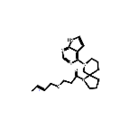 O=C(CCOC/C=C/I)N1CCCC12CCCN(c1ncnc3[nH]ccc13)C2